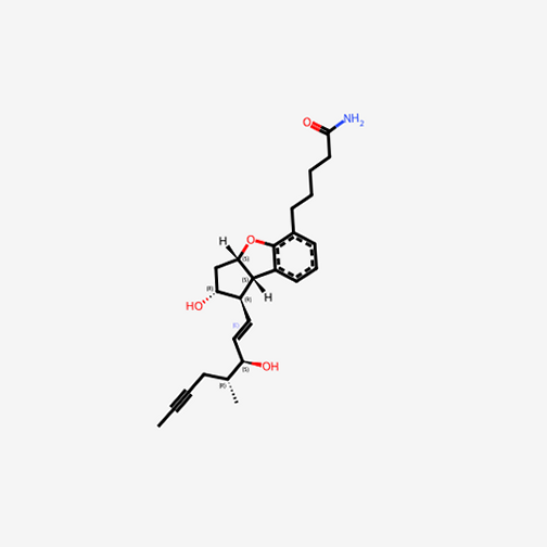 CC#CC[C@@H](C)[C@H](O)/C=C/[C@@H]1[C@H]2c3cccc(CCCCC(N)=O)c3O[C@H]2C[C@H]1O